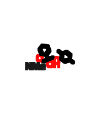 CNC(=O)C(O)(COc1cc(C)ccc1C)c1ccccc1